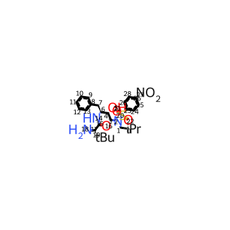 CC(C)CN(C[C@@H](O)[C@H](Cc1ccccc1)NC(=O)[C@@H](N)C(C)(C)C)S(=O)(=O)c1ccc([N+](=O)[O-])cc1